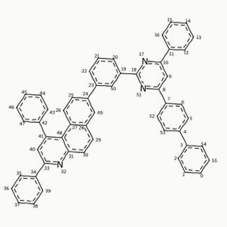 c1ccc(-c2ccc(-c3cc(-c4ccccc4)nc(-c4cccc(-c5ccc6c(ccc7nc(-c8ccccc8)cc(-c8ccccc8)c76)c5)c4)n3)cc2)cc1